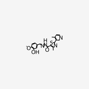 COc1ccc(/C=N/NC(=O)c2sc(-c3cnccc3C)nc2C)cc1O